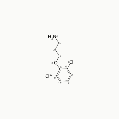 NCCCOc1c(Cl)cccc1Cl